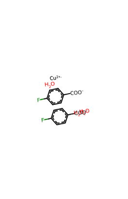 O.O.O.O=C([O-])c1ccc(F)cc1.O=C([O-])c1ccc(F)cc1.[Cu+2]